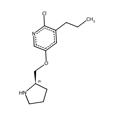 CCCc1cc(OC[C@H]2CCCN2)cnc1Cl